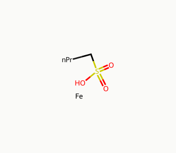 CCCCS(=O)(=O)O.[Fe]